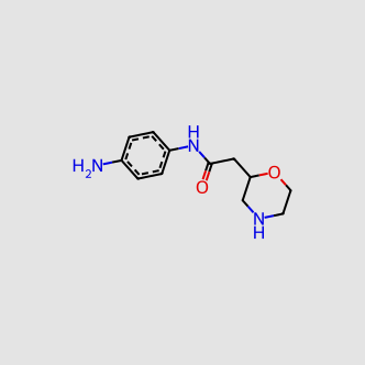 Nc1ccc(NC(=O)CC2CNCCO2)cc1